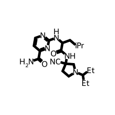 CCC(CC)N1CCC(C#N)(NC(=O)C(CC(C)C)Nc2nccc(C(N)=O)n2)C1